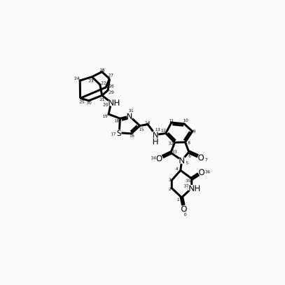 O=C1CCC(N2C(=O)c3cccc(NCc4csc(CNC56CC7CC(CC(C7)C5)C6)n4)c3C2=O)C(=O)N1